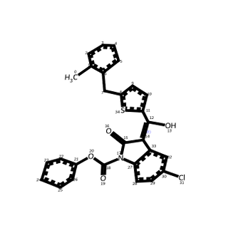 Cc1ccccc1Cc1ccc(/C(O)=C2\C(=O)N(C(=O)Oc3ccccc3)c3ccc(Cl)cc32)s1